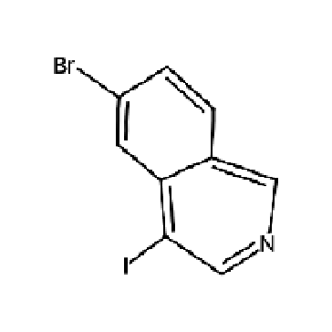 Brc1ccc2cncc(I)c2c1